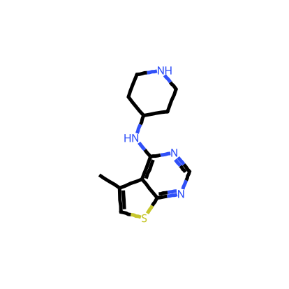 Cc1csc2ncnc(NC3CCNCC3)c12